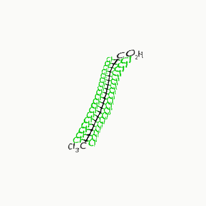 O=C(O)C(Cl)(Cl)C(Cl)(Cl)C(Cl)(Cl)C(Cl)(Cl)C(Cl)(Cl)C(Cl)(Cl)C(Cl)(Cl)C(Cl)(Cl)C(Cl)(Cl)C(Cl)(Cl)C(Cl)(Cl)C(Cl)(Cl)C(Cl)(Cl)C(Cl)(Cl)C(Cl)(Cl)C(Cl)(Cl)C(Cl)(Cl)C(Cl)(Cl)C(Cl)(Cl)C(Cl)(Cl)Cl